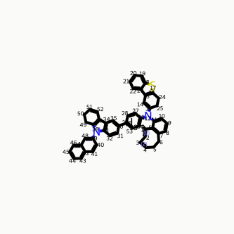 C/C1=C\C=C/CCc2cccc(N(C3=Cc4c(sc5ccccc45)CC3)c3ccc(-c4ccc5c(c4)c4c(n5-c5ccc6ccccc6c5)CCC=C4)cc3)c21